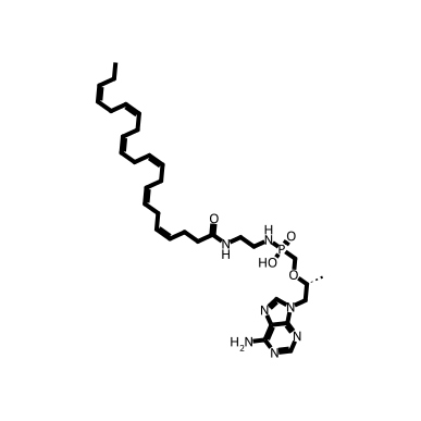 CC/C=C\C/C=C\C/C=C\C/C=C\C/C=C\C/C=C\CCC(=O)NCCNP(=O)(O)CO[C@H](C)Cn1cnc2c(N)ncnc21